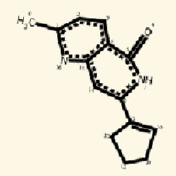 Cc1ccc2c(=O)[nH]c(C3=CCCC3)cc2n1